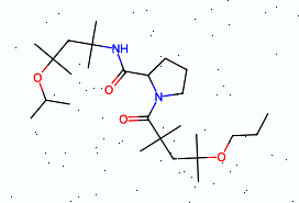 CCCOC(C)(C)CC(C)(C)C(=O)N1CCCC1C(=O)NC(C)(C)CC(C)(C)OC(C)C